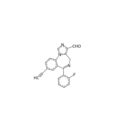 C#Cc1ccc2c(c1)C(c1ccccc1F)=NCc1c(C=O)ncn1-2